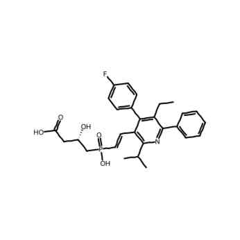 CCc1c(-c2ccccc2)nc(C(C)C)c(C=CP(=O)(O)C[C@@H](O)CC(=O)O)c1-c1ccc(F)cc1